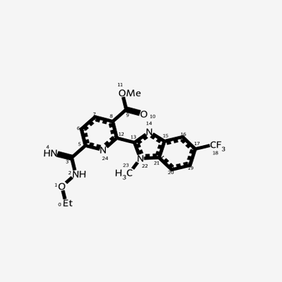 CCONC(=N)c1ccc(C(=O)OC)c(-c2nc3cc(C(F)(F)F)ccc3n2C)n1